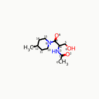 CC(=O)NC(CO)C(=O)N1CCC(C)CC1